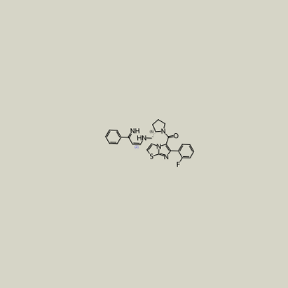 N=C(/C=C\NC[C@@H]1CCCN1C(=O)c1c(-c2ccccc2F)nc2sccn12)c1ccccc1